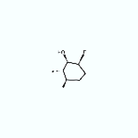 C[C@@H]1[C@@H](O)[C@@H](F)CC[C@H]1C